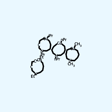 CC(C)N1CCC[CH2][Ga]([CH](C)C)[CH2]CCC1.CCCN1CCC[CH2][Ga]([CH2]CC)[CH2]CCC1.CCN1CCC[CH2][Ga]([CH2]C)[CH2]CCC1.CN1CCC[CH2][Ga]([CH3])[CH2]CCC1